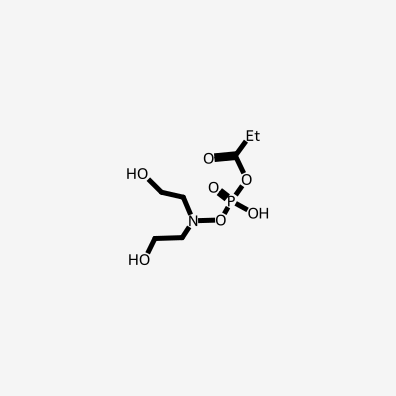 CCC(=O)OP(=O)(O)ON(CCO)CCO